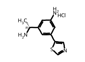 C[C@@H](N)c1cc(N)cc(-c2cncs2)c1.Cl